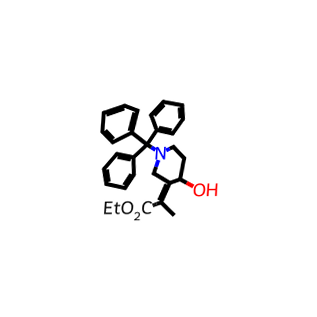 CCOC(=O)C(C)=C1CN(C(c2ccccc2)(c2ccccc2)c2ccccc2)CCC1O